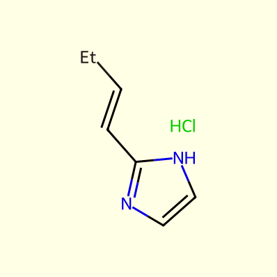 CCC=Cc1ncc[nH]1.Cl